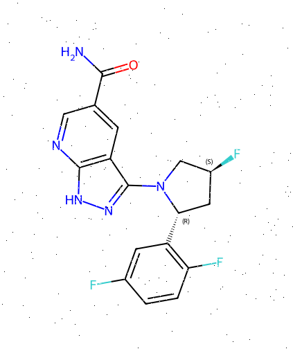 NC(=O)c1cnc2[nH]nc(N3C[C@@H](F)C[C@@H]3c3cc(F)ccc3F)c2c1